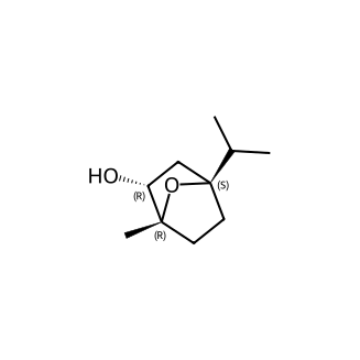 CC(C)[C@@]12CC[C@@](C)(O1)[C@H](O)C2